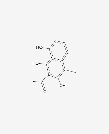 CC(=O)c1c(O)c(C)c2cccc(O)c2c1O